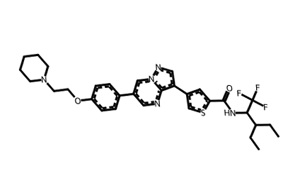 CCC(CC)C(NC(=O)c1cc(-c2cnn3cc(-c4ccc(OCCN5CCCCC5)cc4)cnc23)cs1)C(F)(F)F